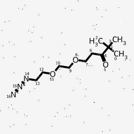 CC(C)(C)C(=O)CCOCCOCCN=[N+]=[N-]